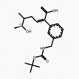 C=C(O)/C(=C\CC(C)[C@H](C)O)c1cccc(CNC(=O)OC(C)(C)C)c1